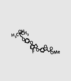 COC(=O)CC1COc2cc(O[C@@H]3CCc4c(Oc5ccc(OCCC(C)(C)O)cc5)ccc(F)c43)ccc21